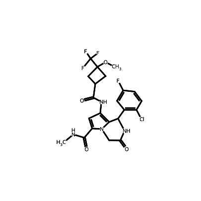 CNC(=O)c1cc(NC(=O)C2CC(OC)(C(F)(F)F)C2)c2n1CC(=O)NC2c1cc(F)ccc1Cl